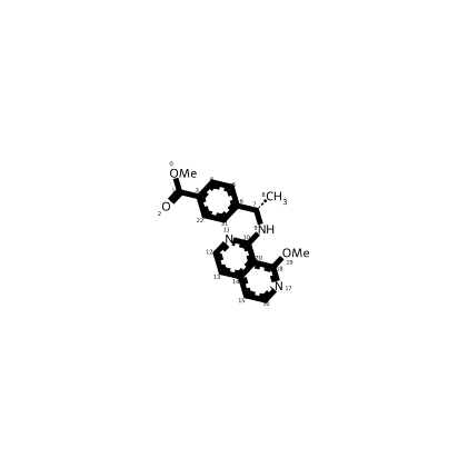 COC(=O)c1ccc([C@H](C)Nc2nccc3ccnc(OC)c23)cc1